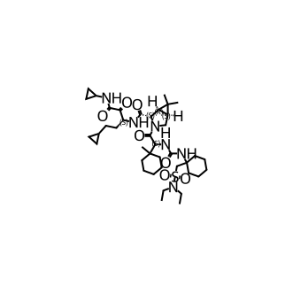 CCN(CC)S(=O)(=O)CC1(NC(=O)N[C@H](C(=O)N2C[C@H]3[C@@H]([C@H]2C(=O)N[C@@H](CCC2CC2)C(=O)C(=O)NC2CC2)C3(C)C)C2(C)CCCCC2)CCCCC1